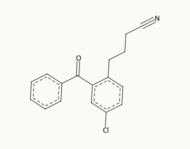 N#CCCCc1ccc(Cl)cc1C(=O)c1ccccc1